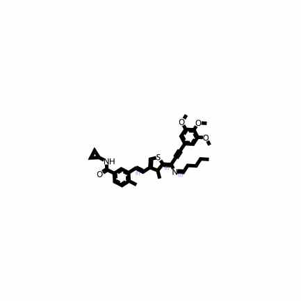 CCCC/C=N\C(C#Cc1cc(OC)c(OC)c(OC)c1)=C1\SC=C(/C=C/c2cc(C(=O)NC3CC3)ccc2C)C1C